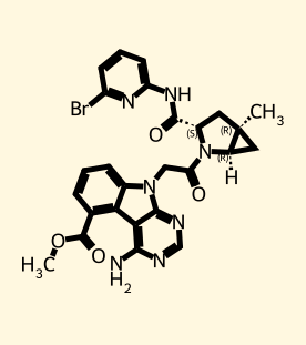 COC(=O)c1cccc2c1c1c(N)ncnc1n2CC(=O)N1[C@H](C(=O)Nc2cccc(Br)n2)C[C@@]2(C)C[C@@H]12